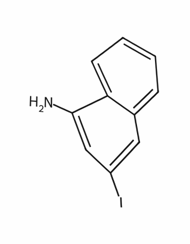 Nc1cc(I)cc2ccccc12